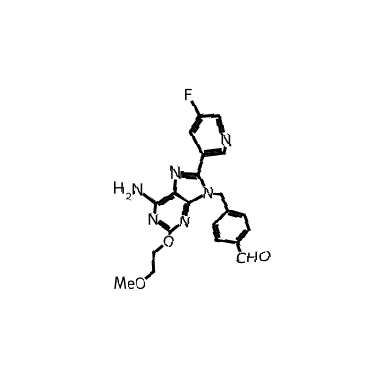 COCCOc1nc(N)c2nc(-c3cncc(F)c3)n(Cc3ccc(C=O)cc3)c2n1